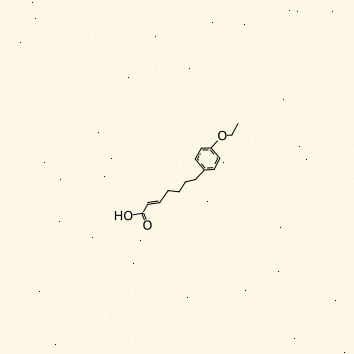 CCOc1ccc(CCCC/C=C/C(=O)O)cc1